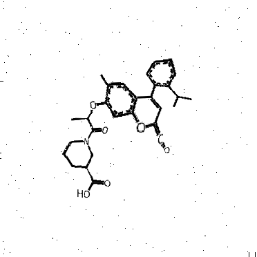 Cc1cc2c(cc1O[C@H](C)C(=O)N1CCC[C@H](C(=O)O)C1)OC(=C=O)C=C2c1ccccc1C(C)C